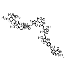 CO[C@H]1C[C@@H](N(C)C)C(O[C@H]2C[C@@H](O)C(O[C@H]3CC/C(=N/NC(=O)CCN4C(=O)CC(SCC(NC(=O)CCC(NC(=O)CCC(NC(=O)c5ccc(NCc6cnc7nc(N)[nH]c(=O)c7n6)cc5)C(=O)O)C(=O)O)C(=O)O)C4=O)C(C)O3)C(C)O2)C(C)O1